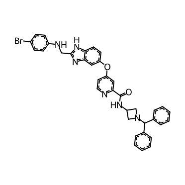 O=C(NC1CN(C(c2ccccc2)c2ccccc2)C1)c1cc(Oc2ccc3[nH]c(CNc4ccc(Br)cc4)nc3c2)ccn1